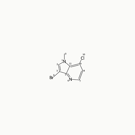 Cn1cc(Br)c2nccc(Cl)c21